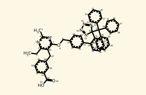 CCc1nc(C)nc(OCc2ccc(-c3ccccc3C3(C(c4ccccc4)(c4ccccc4)c4ccccc4)N=NN=N3)cc2)c1Cc1cccc(C(=O)O)c1